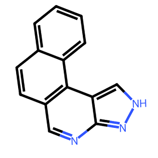 c1ccc2c(c1)ccc1cnc3n[nH]cc3c12